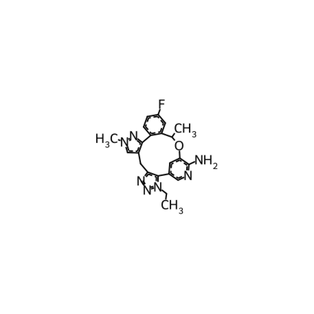 CCn1nnc2c1-c1cnc(N)c(c1)OC(C)c1cc(F)ccc1-c1nn(C)cc1C2